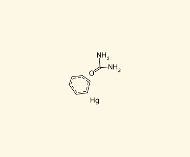 NC(N)=O.[Hg].c1ccccc1